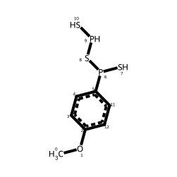 COc1ccc(P(S)SPS)cc1